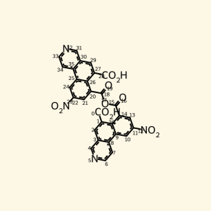 O=C(O)c1cc2cnccc2c2cc([N+](=O)[O-])cc(C(=O)OC(=O)c3cc([N+](=O)[O-])cc4c3c(C(=O)O)cc3cnccc34)c12